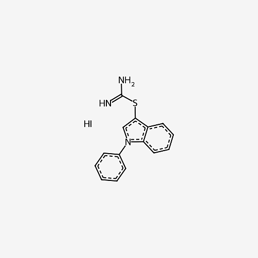 I.N=C(N)Sc1cn(-c2ccccc2)c2ccccc12